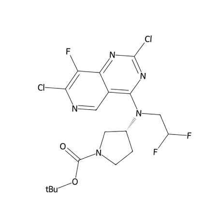 CC(C)(C)OC(=O)N1CC[C@@H](N(CC(F)F)c2nc(Cl)nc3c(F)c(Cl)ncc23)C1